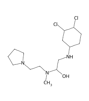 CN(CCN1CCCC1)C(O)CNC1CCC(Cl)C(Cl)C1